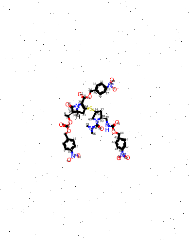 CC(OC(=O)OCc1ccc([N+](=O)[O-])cc1)[C@H]1C(=O)N2C(C(=O)OCc3ccc([N+](=O)[O-])cc3)=C(S[C@H]3C[C@@H](CNC(=O)OCc4ccc([N+](=O)[O-])cc4)N(C(=O)N(C)C)C3)C[C@H]12